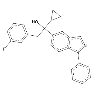 OC(Cc1cccc(F)c1)(c1ccc2c(cnn2-c2ccccc2)c1)C1CC1